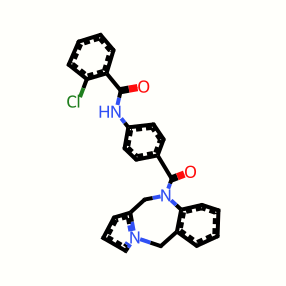 O=C(Nc1ccc(C(=O)N2Cc3cccn3Cc3ccccc32)cc1)c1ccccc1Cl